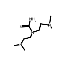 CN(C)CCN(CCN(C)C)C(N)=S